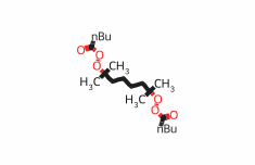 CCCCC(=O)OOC(C)(C)CCCCC(C)(C)OOC(=O)CCCC